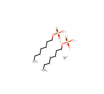 CCCCCCCOS(=O)([O-])=S.CCCCCCCOS(=O)([O-])=S.[Ni+2]